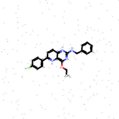 CCOc1nc(NCc2ccccc2)nc2ccc(-c3ccc(F)cc3)nc12